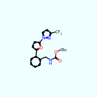 CC(C)(C)OC(=O)NCc1ccccc1-c1ccc(-n2ccc(C(F)(F)F)n2)o1